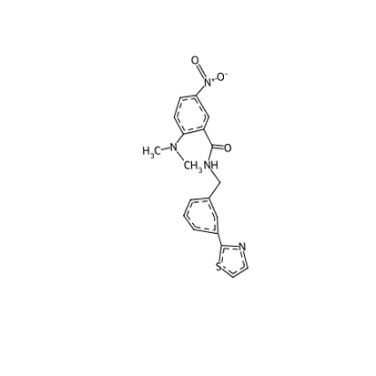 CN(C)c1ccc([N+](=O)[O-])cc1C(=O)NCc1cccc(-c2nccs2)c1